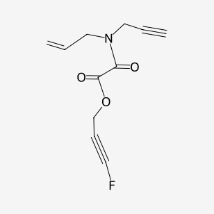 C#CCN(CC=C)C(=O)C(=O)OCC#CF